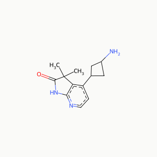 CC1(C)C(=O)Nc2nccc(C3CC(N)C3)c21